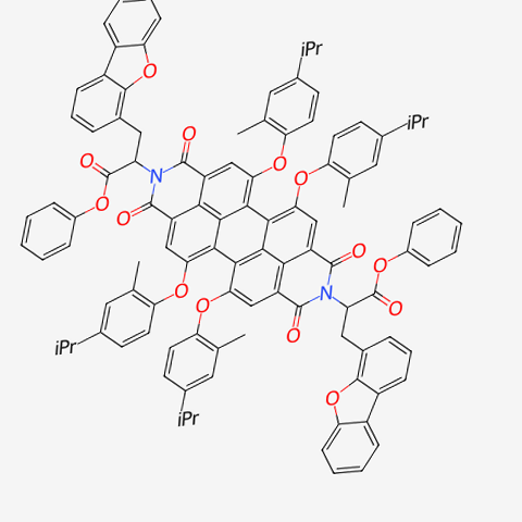 Cc1cc(C(C)C)ccc1Oc1cc2c3c(cc(Oc4ccc(C(C)C)cc4C)c4c5c(Oc6ccc(C(C)C)cc6C)cc6c7c(cc(Oc8ccc(C(C)C)cc8C)c(c1c34)c75)C(=O)N(C(Cc1cccc3c1oc1ccccc13)C(=O)Oc1ccccc1)C6=O)C(=O)N(C(Cc1cccc3c1oc1ccccc13)C(=O)Oc1ccccc1)C2=O